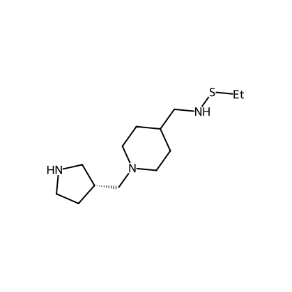 CCSNCC1CCN(C[C@@H]2CCNC2)CC1